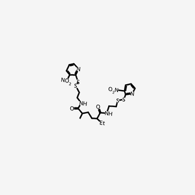 CCC(CCC(C)C(=O)NCCSSc1ncccc1[N+](=O)[O-])C(=O)NCCSSc1ncccc1[N+](=O)[O-]